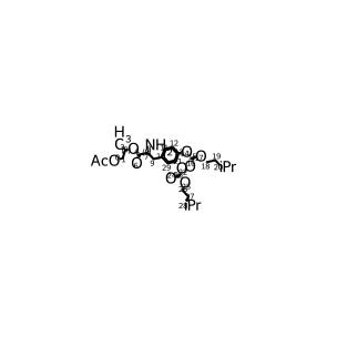 CC(=O)OC[C@@H](C)OC(=O)[C@@H](N)Cc1ccc(OC(=O)OCCC(C)C)c(OC(=O)OCCC(C)C)c1